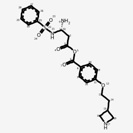 N[C@H](CC(=O)OC(=O)c1ccc(OCCC2CNC2)cc1)NS(=O)(=O)c1ccccc1